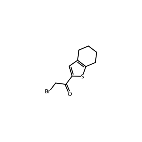 O=C(CBr)c1cc2c(s1)CCCC2